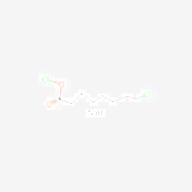 O=C(CCCCCCCCl)OCl.[NaH]